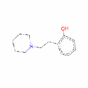 Oc1ccccc1CCN1CCCCC1